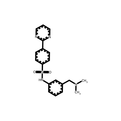 CN(C)Cc1cccc(NS(=O)(=O)c2ccc(-c3ncccn3)cc2)c1